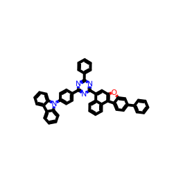 c1ccc(-c2ccc3c(c2)oc2cc(-c4nc(-c5ccccc5)nc(-c5ccc(-n6c7ccccc7c7ccccc76)cc5)n4)c4ccccc4c23)cc1